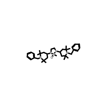 CC1(C)CC(N2CCN(C3CC(C)(C)N(Cc4ccccc4)C(C)(C)C3)P2(C)=O)CC(C)(C)N1Cc1ccccc1